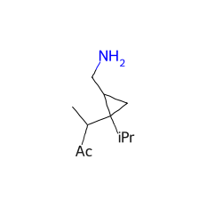 CC(=O)C(C)C1(C(C)C)CC1CN